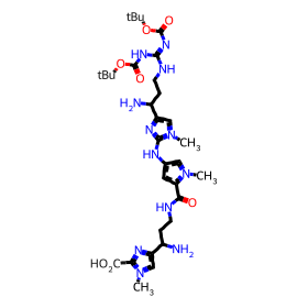 Cn1cc(Nc2nc(C(N)CCNC(=NC(=O)OC(C)(C)C)NC(=O)OC(C)(C)C)cn2C)cc1C(=O)NCCC(N)c1cn(C)c(C(=O)O)n1